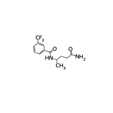 CC(CCC(N)=O)NC(=O)c1cccc(C(F)(F)F)c1